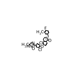 C=C1C=NN(c2cc(Cl)c(Oc3ccc4c(c3)CCN(Cc3ccc(F)c(C)c3)C4=O)c(Cl)c2)C(=O)N1